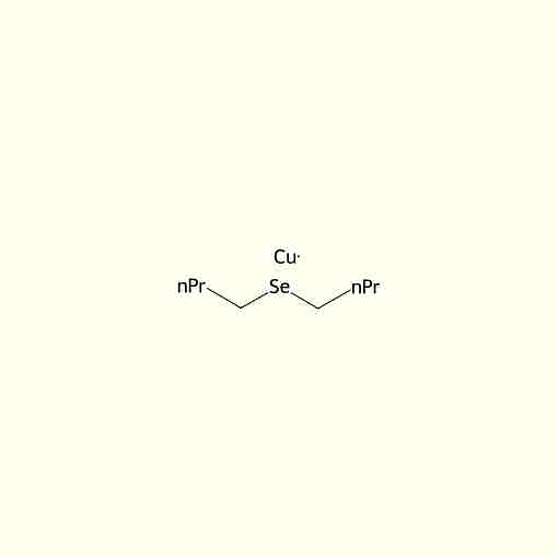 CCCC[Se]CCCC.[Cu]